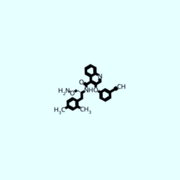 C#Cc1cccc(Oc2cnc3ccccc3c2C(=O)N[C@@H](CON)Cc2ccc(C)cc2C)c1